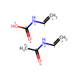 C=CNC(=O)O.C=CNC(C)=O